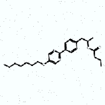 CCCCCCCOc1cnc(-c2ccc(CC(C)OC(=O)CCC)cc2)nc1